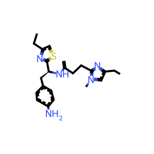 C=C(CCc1nc(CC)cn1C)N[C@@H](Cc1ccc(N)cc1)c1nc(CC)cs1